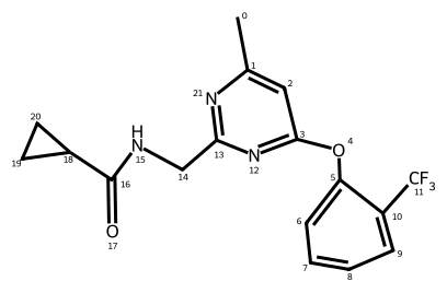 Cc1cc(Oc2ccccc2C(F)(F)F)nc(CNC(=O)C2CC2)n1